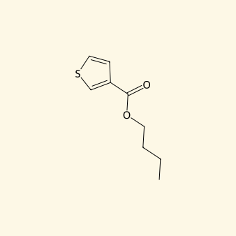 CCCCOC(=O)c1ccsc1